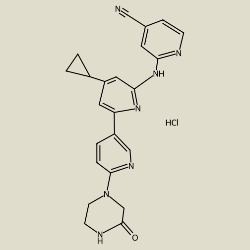 Cl.N#Cc1ccnc(Nc2cc(C3CC3)cc(-c3ccc(N4CCNC(=O)C4)nc3)n2)c1